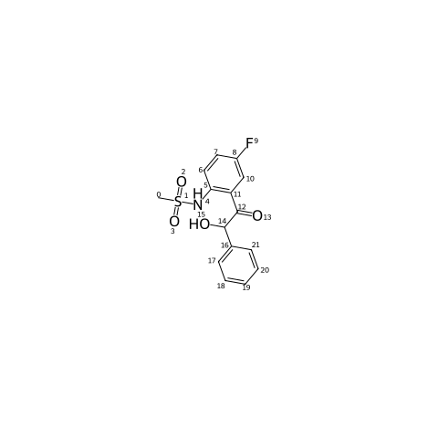 CS(=O)(=O)Nc1ccc(F)cc1C(=O)C(O)c1ccccc1